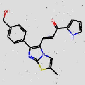 Cc1cn2c(/C=C/C(=O)c3ccc[nH]3)c(-c3ccc(CO)cc3)nc2s1